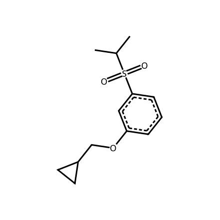 CC(C)S(=O)(=O)c1cccc(OCC2CC2)c1